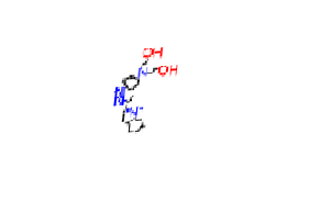 C/C(=N\N(C)c1ccc(N(CCO)CCO)cc1)c1ccc2ccccc2[n+]1C